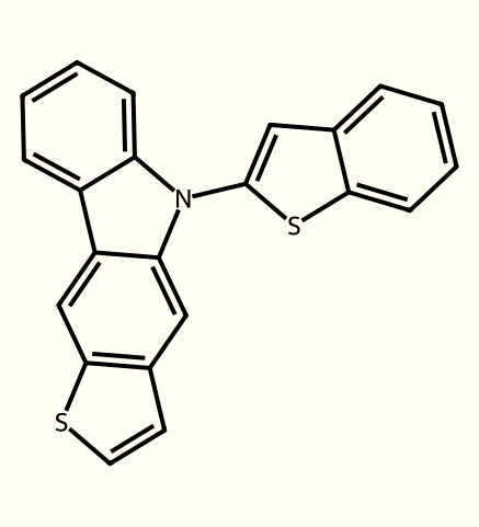 c1ccc2sc(-n3c4ccccc4c4cc5sccc5cc43)cc2c1